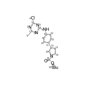 Cc1nc(Cl)nc(Nc2ccc(-c3ccn(C(=O)OC(C)(C)C)c3)cc2)n1